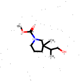 CC(CO)C1(C)CCCN(C(=O)OC(C)(C)C)C1